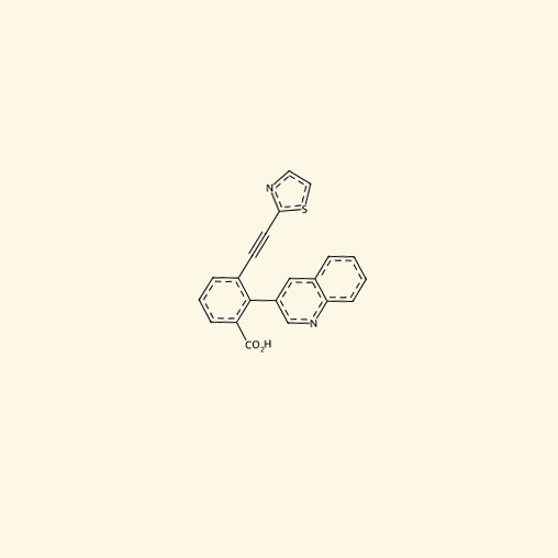 O=C(O)c1cccc(C#Cc2nccs2)c1-c1cnc2ccccc2c1